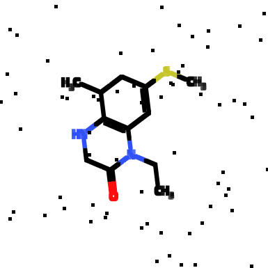 CCN1C(=O)CNC2=C1C=C(SC)CC2C